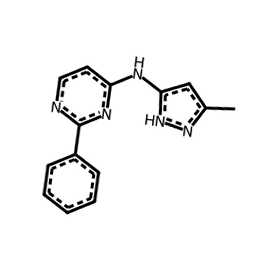 Cc1cc(Nc2ccnc(-c3ccccc3)n2)[nH]n1